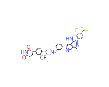 Cc1nnc(N[C@H](C)c2cccc(C(F)F)c2F)c2cc(-c3cccc(CN4CCC(c5ccc([C@@]6(C)CCC(=O)NC6=O)cc5C(F)(F)F)CC4)c3)ncc12